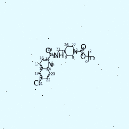 CC(C)(C)OC(=O)N1CCC(CNC(=O)c2ccc3cc(Cl)ccc3n2)CC1